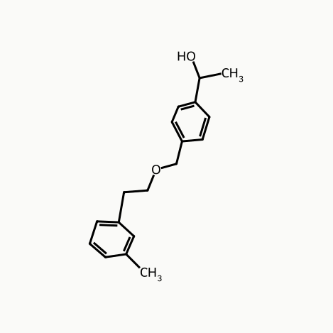 Cc1cccc(CCOCc2ccc(C(C)O)cc2)c1